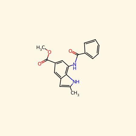 COC(=O)c1cc(NC(=O)c2ccccc2)c2[nH]c(C)cc2c1